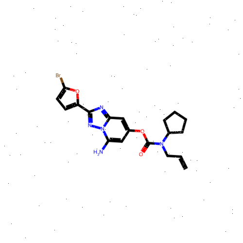 C=CCN(C(=O)Oc1cc(N)n2nc(-c3ccc(Br)o3)nc2c1)C1CCCC1